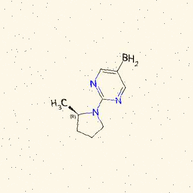 Bc1cnc(N2CCC[C@H]2C)nc1